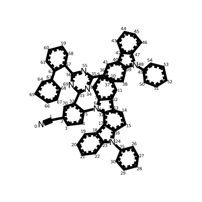 N#Cc1ccc(-n2c3ccccc3c3ccc4c(c5ccccc5n4-c4ccccc4)c32)c(-c2nc(-c3ccc4c(c3)c3ccccc3n4-c3ccccc3)nc(-c3ccccc3-c3ccccc3)n2)c1